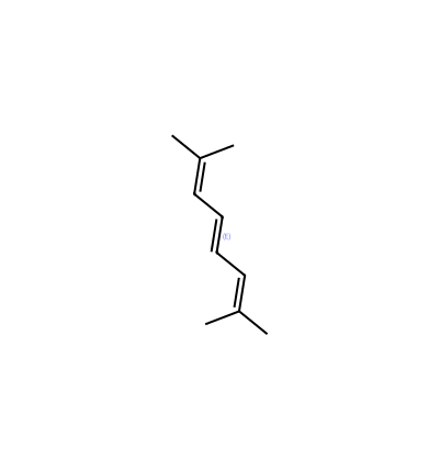 CC(C)=C/C=C/C=C(C)C